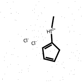 [CH3][Hf+2][C]1=CC=CC1.[Cl-].[Cl-]